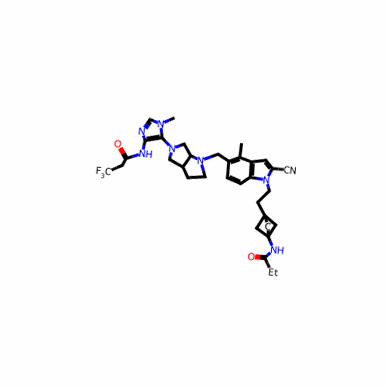 CCC(=O)NC12CC(CCn3c(C#N)cc4c(C)c(CN5CCC6CN(c7c(NC(=O)CC(F)(F)F)ncn7C)CC65)ccc43)(C1)C2